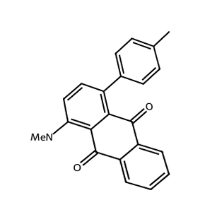 CNc1ccc(-c2ccc(C)cc2)c2c1C(=O)c1ccccc1C2=O